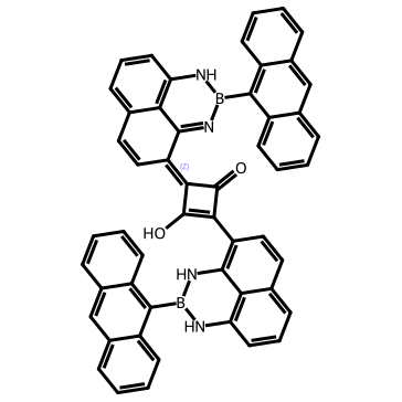 O=C1C(c2ccc3cccc4c3c2NB(c2c3ccccc3cc3ccccc23)N4)=C(O)/C1=c1\ccc2cccc3c2c1=NB(c1c2ccccc2cc2ccccc12)N3